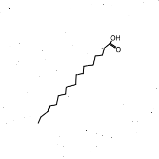 CCCCCCCCCCCCCCC[CH]C(=O)O